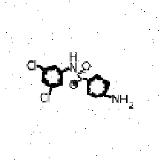 Nc1ccc(S(=O)(=O)Nc2cc(Cl)cc(Cl)c2)cc1